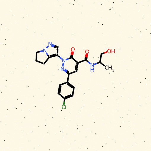 CC(CO)NC(=O)c1cc(-c2ccc(Cl)cc2)nn(-c2cnn3c2CCC3)c1=O